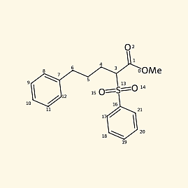 COC(=O)C(CCCc1ccccc1)S(=O)(=O)c1ccccc1